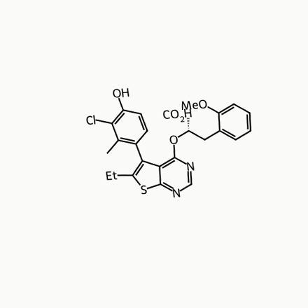 CCc1sc2ncnc(O[C@@H](Cc3ccccc3OC)C(=O)O)c2c1-c1ccc(O)c(Cl)c1C